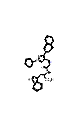 O=C(/C=C\c1cn(-c2ccccc2)nc1-c1ccc2ccccc2c1)NC(Cc1c[nH]c2ccccc12)C(=O)O